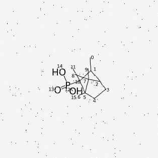 CC1C2CCC(C)(C2(C)C)C1(C)P(=O)(O)O